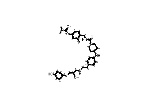 CN(C)C(=O)Oc1ccc(CNC(=O)N2CCC(Nc3ccc(CCNCC(O)COc4ccc(O)cc4)cc3)CC2)c(F)c1